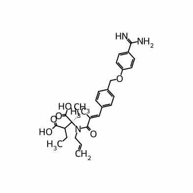 C=CCN(C(=O)/C(C)=C/c1ccc(COc2ccc(C(=N)N)cc2)cc1)[C@](CC)(C(=O)O)C(CC)C(=O)O